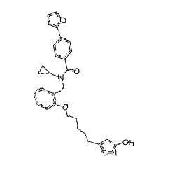 O=C(c1ccc(-c2ccco2)cc1)N(Cc1ccccc1OCCCCCc1cc(O)ns1)C1CC1